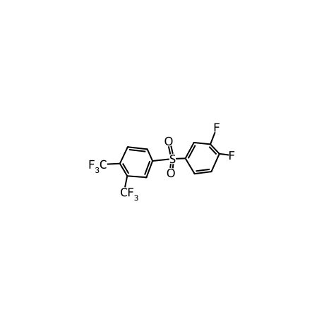 O=S(=O)(c1ccc(F)c(F)c1)c1ccc(C(F)(F)F)c(C(F)(F)F)c1